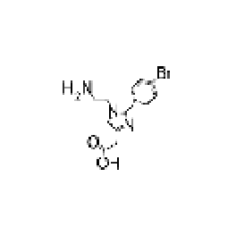 NCCn1cc(CC(=O)O)nc1-c1ccc(Br)cc1